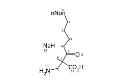 CCCCCCCCCCCCCC(=O)C(C)(CN)C(=O)O.[NaH]